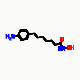 Nc1ccc(CCCCCCC(=O)NO)cc1